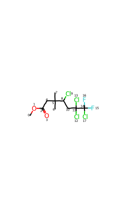 COC(=O)CC(C)(C)C(Cl)CC(Cl)(Cl)C(F)(F)Cl